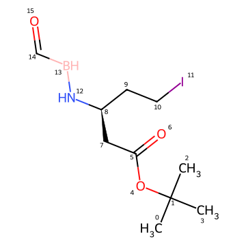 CC(C)(C)OC(=O)C[C@H](CCI)NBC=O